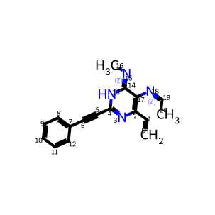 C=Cc1nc(C#Cc2ccccc2)[nH]/c(=N\C)c1/N=C\C